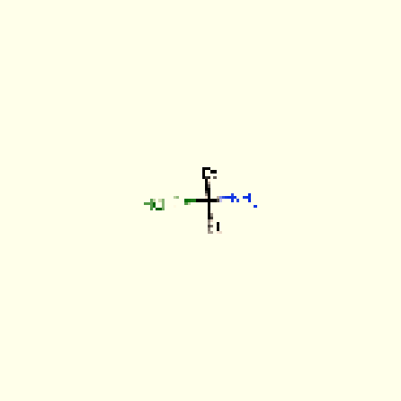 CCC(N)(Cl)CC.Cl